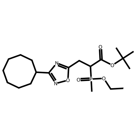 CCOP(C)(=O)C(Cc1nc(C2CCCCCCC2)no1)C(=O)OC(C)(C)C